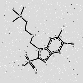 C[Si](C)(C)CCOCn1c(S(C)(=O)=O)nc2cc(Br)c(Cl)cc21